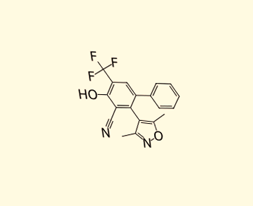 Cc1noc(C)c1-c1c(-c2ccccc2)cc(C(F)(F)F)c(O)c1C#N